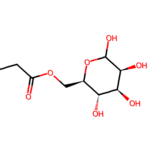 CCC(=O)OC[C@H]1OC(O)[C@@H](O)[C@@H](O)[C@@H]1O